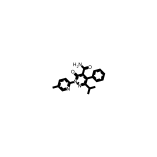 Cc1ccc(-n2nc(C(C)C)c(-c3ccccc3)c(C(N)=O)c2=O)nc1